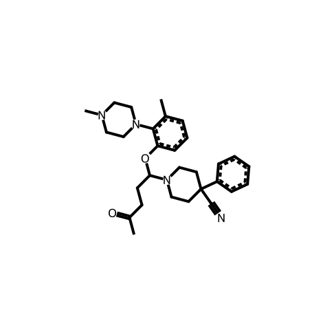 CC(=O)CCC(Oc1cccc(C)c1N1CCN(C)CC1)N1CCC(C#N)(c2ccccc2)CC1